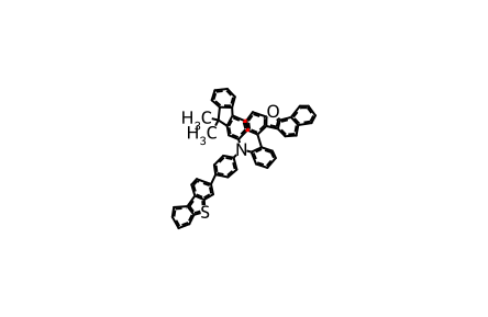 CC1(C)c2ccccc2-c2ccc(N(c3ccc(-c4ccc5c(c4)sc4ccccc45)cc3)c3ccccc3-c3cccc4oc5c6ccccc6ccc5c34)cc21